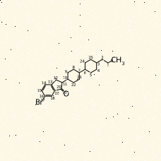 CCCC1CCC(C2CCC(C3Cc4ccc(Br)cc4C3=O)CC2)CC1